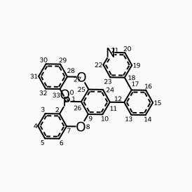 O=P12c3ccccc3Oc3cc(-c4ccccc4-c4ccncc4)cc(c31)Oc1ccccc12